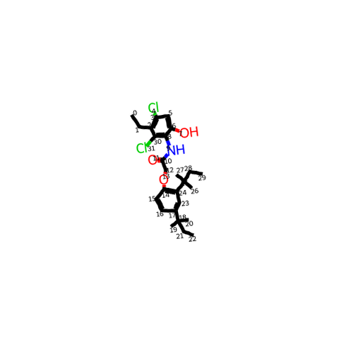 CCc1c(Cl)cc(O)c(NC(=O)COc2ccc(C(C)(C)CC)cc2C(C)(C)CC)c1Cl